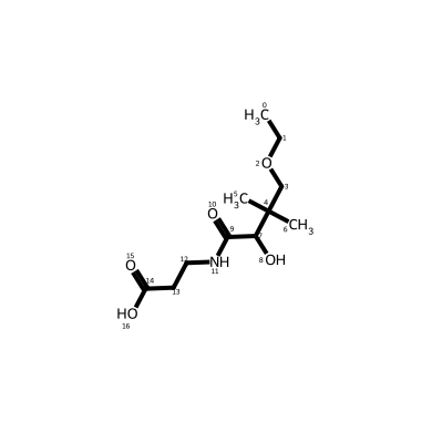 CCOCC(C)(C)C(O)C(=O)NCCC(=O)O